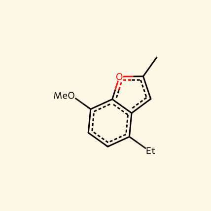 CCc1ccc(OC)c2oc(C)cc12